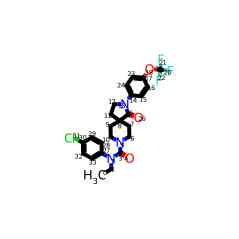 CCN(C(=O)N1CCC2(CC1)CCN(c1ccc(OC(F)(F)F)cc1)C2=O)c1ccc(Cl)cc1